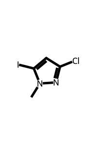 Cn1nc(Cl)cc1I